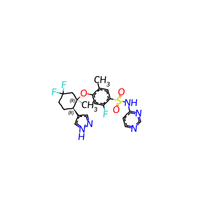 Cc1cc(S(=O)(=O)Nc2ccncn2)c(F)cc1O[C@]1(C)CC(F)(F)CC[C@@H]1c1cn[nH]c1